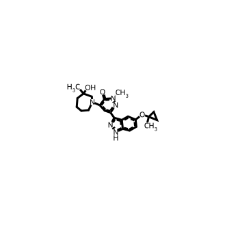 Cn1nc(-c2n[nH]c3ccc(OC4(C)CC4)cc23)cc(N2CCCCC(C)(O)C2)c1=O